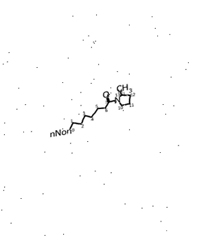 CCCCCCCCCCCCCCCC(=O)N1CCC[C@@H]1C